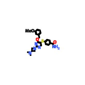 COc1cccc(COc2nc(N3CC(N(C)C)C3)ncc2Sc2ccc(C(N)=O)cc2)c1